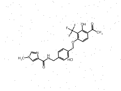 CC(=O)c1ccc(OCc2ccc(CNC(=O)c3cn(C)cn3)cc2)c(C(F)(F)F)c1O.Cl